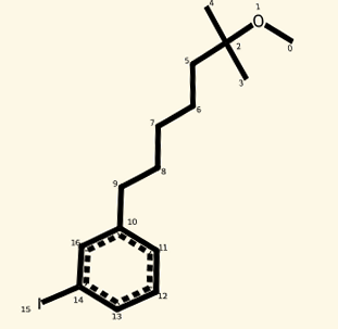 COC(C)(C)CCCCCc1cccc(I)c1